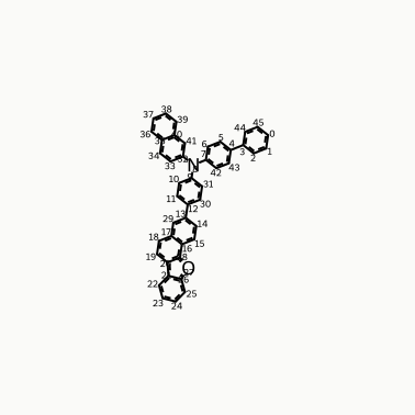 c1ccc(-c2ccc(N(c3ccc(-c4ccc5c(ccc6c7ccccc7oc56)c4)cc3)c3ccc4ccccc4c3)cc2)cc1